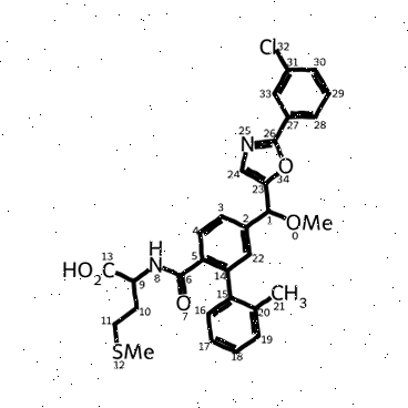 COC(c1ccc(C(=O)NC(CCSC)C(=O)O)c(-c2ccccc2C)c1)c1cnc(-c2cccc(Cl)c2)o1